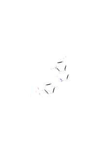 CS(=O)(=O)c1ccc(Oc2ccc3cc(Br)cc(I)c3n2)cc1